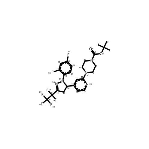 CC(C)(C)OC(=O)N1CCN(c2cc(C3CC(C(F)(F)C(F)(F)F)=NN3c3ccc(F)cc3F)ccn2)CC1